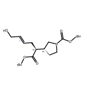 CC(C)(C)OC(=O)[C@@H](C/C=C/CO)[C@H]1CCN(C(=O)OC(C)(C)C)C1